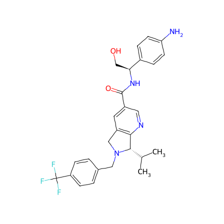 CC(C)[C@H]1c2ncc(C(=O)N[C@@H](CO)c3ccc(N)cc3)cc2CN1Cc1ccc(C(F)(F)F)cc1